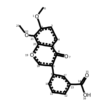 COc1ccc2c(=O)c(-c3cccc(C(=O)O)c3)coc2c1OC